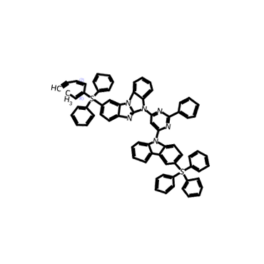 C#C/C=C\C(=C/C)S(c1ccccc1)(c1ccccc1)c1ccc2nc3n(-c4cc(-n5c6ccccc6c6cc(S(c7ccccc7)(c7ccccc7)c7ccccc7)ccc65)nc(-c5ccccc5)n4)c4ccccc4n3c2c1